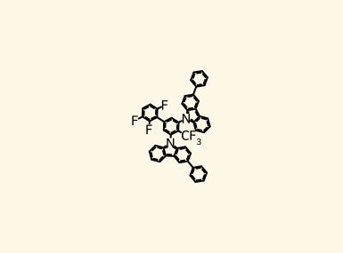 Fc1ccc(F)c(-c2cc(-n3c4ccccc4c4cc(-c5ccccc5)ccc43)c(C(F)(F)F)c(-n3c4ccccc4c4cc(-c5ccccc5)ccc43)c2)c1F